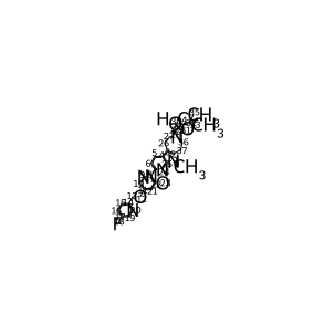 Cn1c2c(c3ccc(-n4ncc(OCc5ccc(F)cn5)cc4=O)nc31)CCN(C(=O)OC(C)(C)C)CC2